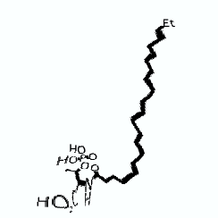 CCC=CCC=CCC=CCC=CCC=CC/C=C\CCC(=O)N[C@H](C(=O)O)[C@@H](C)OP(=O)(O)O